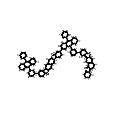 c1ccc(-c2c3ccccc3c(-c3cccc(-c4ccc5sc6cc7cc8c(cc7cc6c5c4)sc4cc(-c5ccc6c(-c7ccccc7)c7ccccc7c(-c7cccc(-c9ccc%10sc%11cc%12ccc%13c%14ccccc%14sc%13c%12cc%11c%10c9)c7)c6c5)ccc48)c3)c3ccccc23)cc1